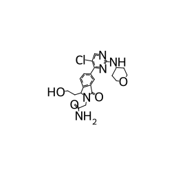 NC(=O)CN1C(=O)c2cc(-c3nc(NC4CCOCC4)ncc3Cl)ccc2C1CCO